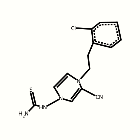 N#CC1=CN(NC(N)=S)C=CN1CCc1ccccc1Cl